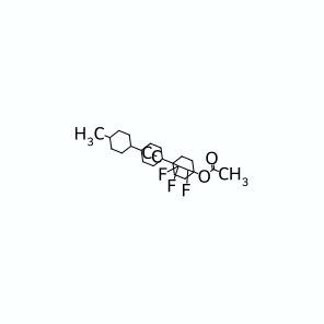 CC(=O)OC12CCC(C34CCC(C5CCC(C)CC5)(CC3)CC4)(CC1)C(F)(F)C2F